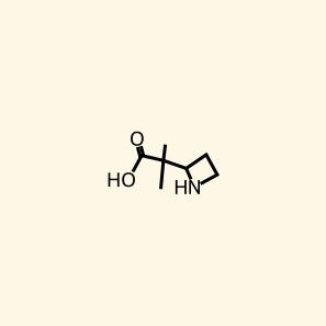 CC(C)(C(=O)O)C1CCN1